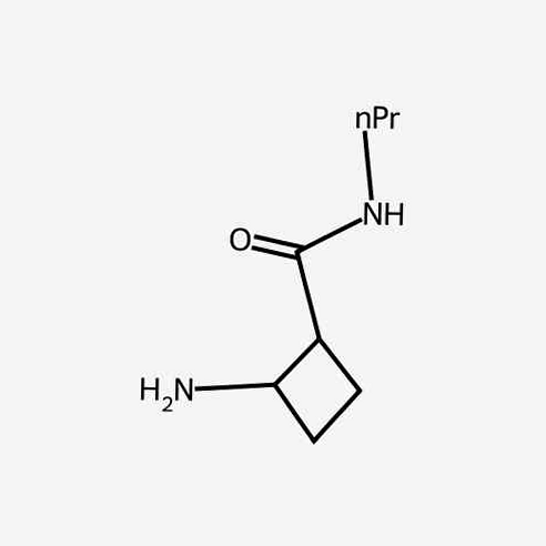 CCCNC(=O)C1CCC1N